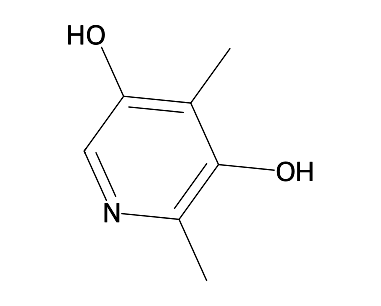 Cc1ncc(O)c(C)c1O